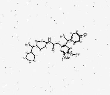 COc1cc(CC(=O)NC2CCC(C(O)C3CCOCC3)CC2)c(C(O)c2ccc(Cl)cc2)cc1OC(C)C